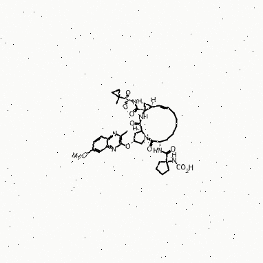 COc1ccc2nc(C)c(O[C@@H]3C[C@H]4C(=O)N[C@]5(C(=O)NS(=O)(=O)C6(C)CC6)C[C@H]5/C=C\CCCCC[C@H](NC(=O)C5(NC(=O)O)CCCC5)C(=O)N4C3)nc2c1